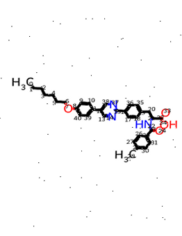 CCCCCCCOc1ccc(-c2cnc(-c3ccc(CC(NC(=O)c4ccc(C)cc4)C(=O)O)cc3)nc2)cc1